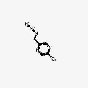 [N-]=[N+]=NCc1cnc(Cl)cn1